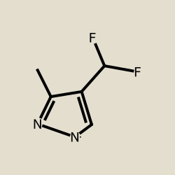 CC1=N[N]C=C1C(F)F